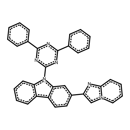 c1ccc(-c2nc(-c3ccccc3)nc(-n3c4ccccc4c4ccc(-c5cn6ccccc6n5)cc43)n2)cc1